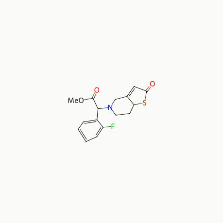 COC(=O)C(c1ccccc1F)N1CCC2SC(=O)C=C2C1